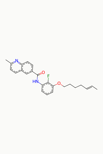 CC=CCCCCOc1cccc(NC(=O)c2ccc3nc(C)ccc3c2)c1F